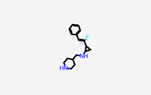 F/C(=C\c1ccccc1)C1CC1NCC1CCNCC1